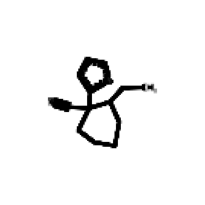 CCC1CCCCC1(C#N)c1cccs1